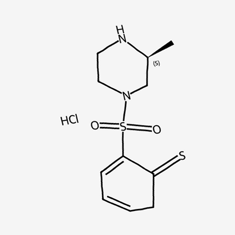 C[C@H]1CN(S(=O)(=O)C2=CC=CCC2=S)CCN1.Cl